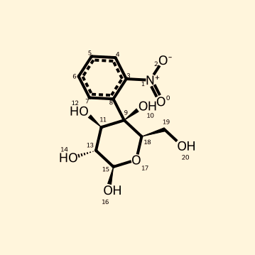 O=[N+]([O-])c1ccccc1[C@@]1(O)[C@H](O)[C@@H](O)[C@H](O)O[C@@H]1CO